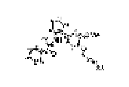 CCC#CCOc1ccc([C@@H]2CCCC[C@H]2NC(=O)C(O)c2ccccc2)cc1OC